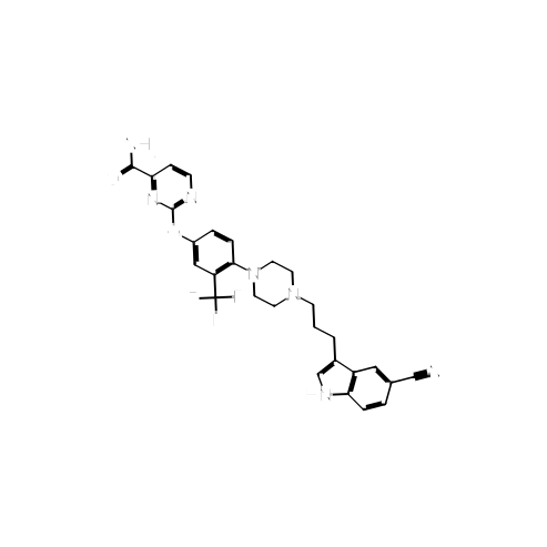 N#Cc1ccc2[nH]cc(CCCN3CCN(c4ccc(Oc5nccc(C(N)=O)n5)cc4C(F)(F)F)CC3)c2c1